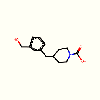 O=C(O)N1CCC(Cc2cccc(CO)c2)CC1